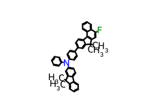 CC1(C)c2ccccc2-c2ccc(N(c3ccccc3)c3ccc(-c4ccc5c(c4)C(C)(C)c4cc(F)c6ccccc6c4-5)cc3)cc21